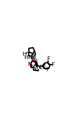 Fc1ccc(N2CCn3nc(N[C@@H]4C5CC[C@H]4CN(c4ccnc(C(F)(F)F)c4)C5)nc32)cc1F